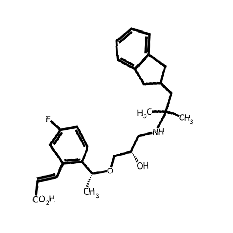 C[C@@H](OC[C@@H](O)CNC(C)(C)CC1Cc2ccccc2C1)c1ccc(F)cc1/C=C/C(=O)O